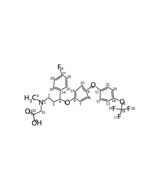 CN(CCC(Oc1ccc(Oc2ccc(OC(F)(F)F)cc2)cc1)c1ccc(F)cc1)CC(=O)O